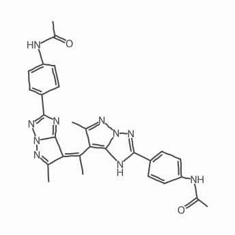 CC(=O)Nc1ccc(-c2nc3/c(=C(/C)c4c(C)nn5nc(-c6ccc(NC(C)=O)cc6)[nH]c45)c(C)nn3n2)cc1